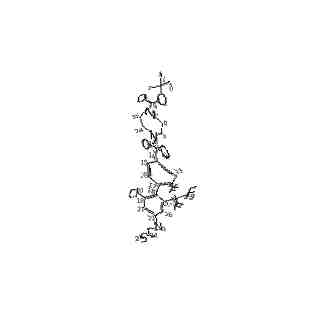 CC(C)(C)OC(=O)N1CCN(S(=O)(=O)c2ccc(-c3c(Cl)cc(N=C=S)cc3C(F)(F)F)cc2)CC1